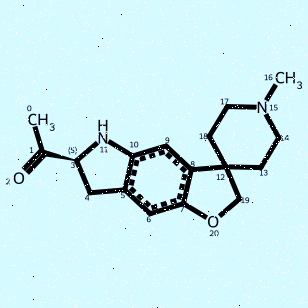 CC(=O)[C@@H]1Cc2cc3c(cc2N1)C1(CCN(C)CC1)CO3